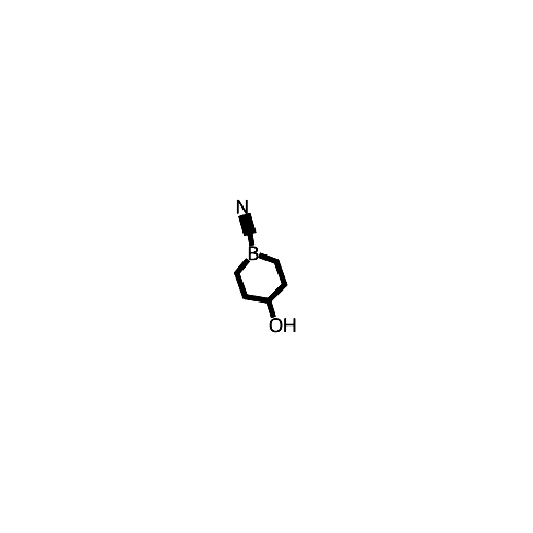 N#CB1CCC(O)CC1